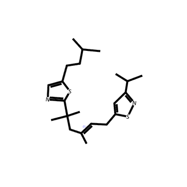 C/C(=C\Cc1cc(C(C)C)ns1)CC(C)(C)c1ncc(CCC(C)C)s1